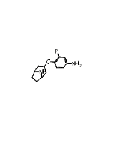 Nc1ccc(OC2CC3CCC(C2)N3)c(F)c1